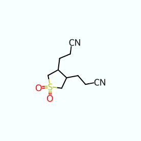 N#CCCC1CS(=O)(=O)CC1CCC#N